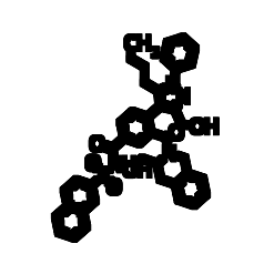 CCCCc1c(-c2ccc(C(=O)NS(=O)(=O)c3ccc4ccccc4c3)cc2C(=O)N2Cc3ccccc3CC2CO)c(CO)nn1-c1ccccc1